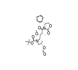 CO[C@H]([C@@H](C)C(=O)N1C(=O)OC[C@H]1c1ccccc1)[C@@H]1C[C@H](OC=O)CN1C(=O)OC(C)(C)C